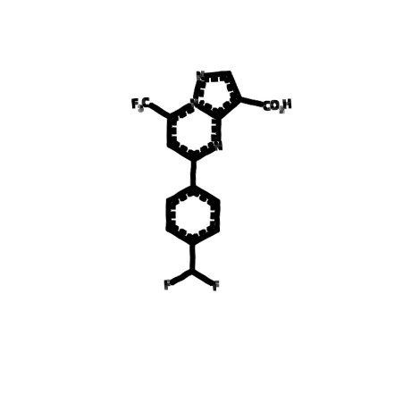 O=C(O)c1cnn2c(C(F)(F)F)cc(-c3ccc(C(F)F)cc3)nc12